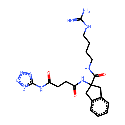 N=C(N)NCCCCNC(=O)C1(NC(=O)CCC(=O)Nc2nnn[nH]2)Cc2ccccc2C1